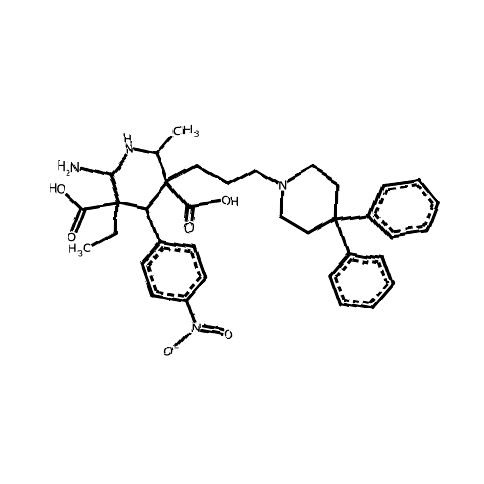 CCC1(C(=O)O)C(N)NC(C)C(CCCN2CCC(c3ccccc3)(c3ccccc3)CC2)(C(=O)O)C1c1ccc([N+](=O)[O-])cc1